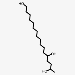 CC(O)CCC(O)CCCCCCCCCCCCO